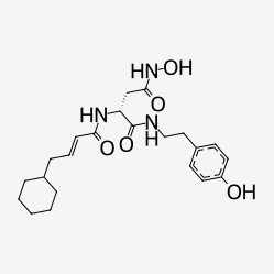 O=C(/C=C/CC1CCCCC1)N[C@H](CC(=O)NO)C(=O)NCCc1ccc(O)cc1